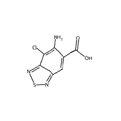 Nc1c(C(=O)O)cc2nsnc2c1Cl